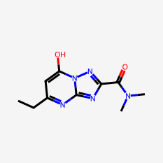 CCc1cc(O)n2nc(C(=O)N(C)C)nc2n1